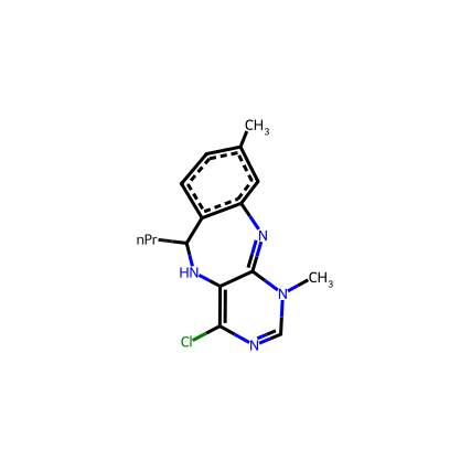 CCCC1NC2=C(Cl)N=CN(C)C2=Nc2cc(C)ccc21